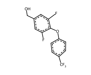 OCc1cc(F)c(Oc2ccc(C(F)(F)F)cc2)c(F)c1